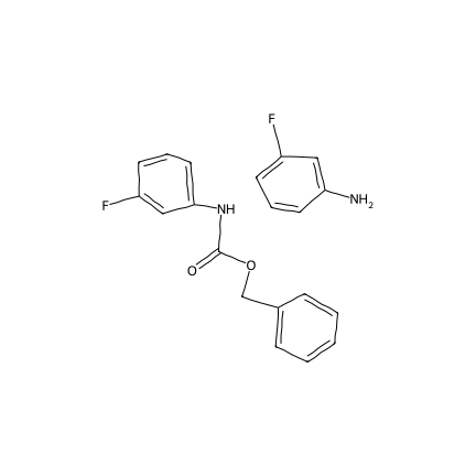 Nc1cccc(F)c1.O=C(Nc1cccc(F)c1)OCc1ccccc1